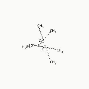 CCCCCCCCCCC(CCCCCCCC)OC(=O)CCN(CCCCN1CCN(C)CC1)CCC(=O)OC(CCCCCCCC)CCCCCCCCCC